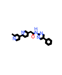 Cc1cc(-c2ccc(CC(=O)Nc3ncc(-c4ccccc4)cn3)cn2)ccn1